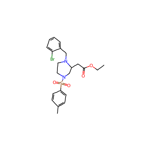 CCOC(=O)CC1CN(S(=O)(=O)c2ccc(C)cc2)CCN1Cc1ccccc1Br